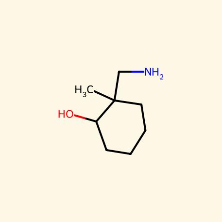 CC1(CN)CCCCC1O